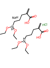 C=C(CCC[SiH](OCC)OCC)C(=O)O.C=C(CCC[SiH](OCC)OCC)C(=O)O.Cl.[NaH]